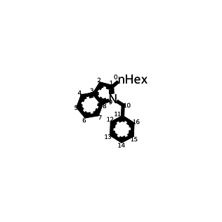 CCCCCCc1cc2ccccc2n1Cc1ccccc1